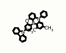 Cc1cc(C)c2c(c1)N(c1ccccc1)c1cccc3c1B2c1ccc(-n2c4ccccc4c4ccccc42)cc1O3